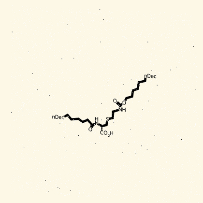 CCCCCCCCCCCCCCCCOC(=O)NCCSC[C@H](NC(=O)CCCCCCCCCCCCCCC)C(=O)O